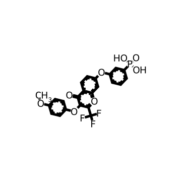 COc1ccc(Oc2c(C(F)(F)F)oc3cc(Oc4cccc(P(=O)(O)O)c4)ccc3c2=O)cc1